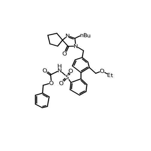 CCCCC1=NC2(CCCC2)C(=O)N1Cc1ccc(-c2ccccc2S(=O)(=O)NC(=O)OCc2ccccc2)c(COCC)c1